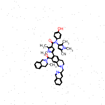 Cc1c(N(C(=O)c2cc(-c3cc4c(cc3C(=O)N3Cc5ccccc5C[C@H]3C)CN(Cc3cc5ccccc5cn3)CC4)n(C)c2C)c2ccc(O)cc2)cc(C#N)n1C